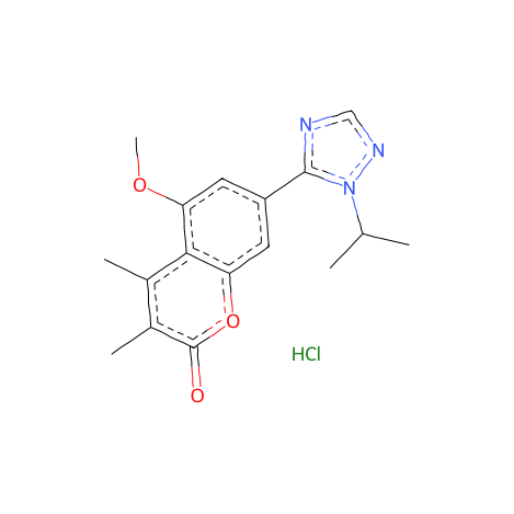 COc1cc(-c2ncnn2C(C)C)cc2oc(=O)c(C)c(C)c12.Cl